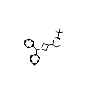 CCC(NC(=O)C(F)(F)F)C1CN(C(c2ccccc2)c2ccccc2)C1